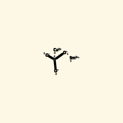 [Ca+2].[O-]B([O-])[O-].[Sm+3]